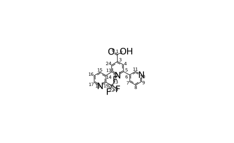 O=C(O)c1cc(-c2cccnc2)nc(-c2cccnc2C(F)(F)F)c1